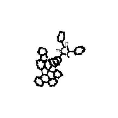 CN1C(c2ccccc2)NC(c2ccccc2)NC1c1cccc(-n2c3ccccc3c3ccc4c(c32)C(c2ccccc2)(c2ccccc2)c2c-4c3ccccc3c3ccccc23)c1